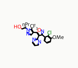 CCC[C@@H](CO)n1ncc(-c2onc(-c3cccc(OC)c3Cl)c2-c2ncccn2)c1C(F)(F)F